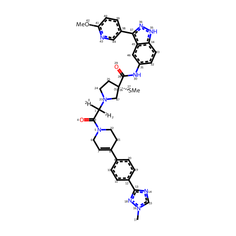 [2H]C([2H])(C(=O)N1CC=C(c2ccc(-c3ncn(C)n3)cc2)CC1)N1CC[C@@](SC)(C(=O)Nc2ccc3[nH]nc(-c4ccc(OC)nc4)c3c2)C1